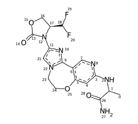 CC(Nc1cc2c(cn1)-c1nc(N3C(=O)OC[C@H]3C(F)F)cn1CCO2)C(N)=O